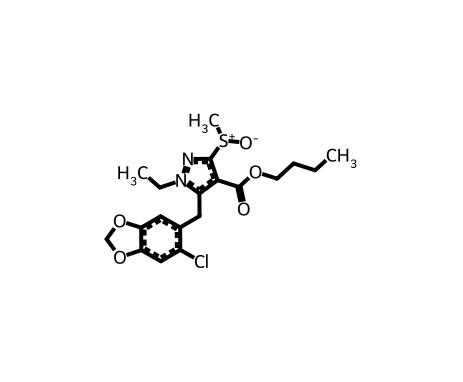 CCCCOC(=O)c1c([S+](C)[O-])nn(CC)c1Cc1cc2c(cc1Cl)OCO2